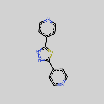 c1cc(-c2nnc(-c3ccncc3)s2)ccn1